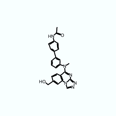 CC(=O)Nc1ccc(-c2cccc(N(C)c3nc4nncn4c4cc(CO)ccc34)c2)cc1